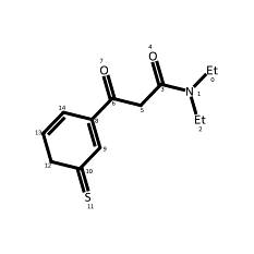 CCN(CC)C(=O)CC(=O)C1=CC(=S)CC=C1